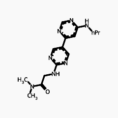 CCCNc1cc(-c2cnc(NCC(=O)N(C)C)nc2)ncn1